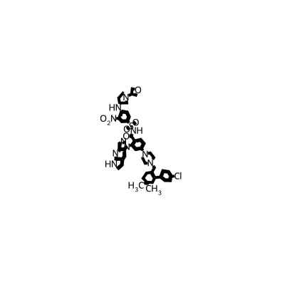 CC1(C)CCC(CN2CCN(c3ccc(C(=O)NS(=O)(=O)c4ccc(NC5CCN(C6COC6)C5)c([N+](=O)[O-])c4)c(-n4ncc5nc6[nH]ccc6cc54)c3)CC2)=C(c2ccc(Cl)cc2)C1